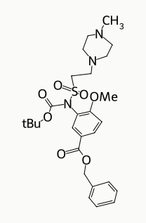 COc1ccc(C(=O)OCc2ccccc2)cc1N(C(=O)OC(C)(C)C)S(=O)(=O)CCN1CCN(C)CC1